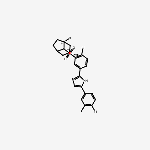 Cc1cc(-c2cnc(-c3ccc(Cl)c(S(=O)(=O)N4C5CC[C@@H]4C[C@H](O)C5)c3)[nH]2)ccc1Cl